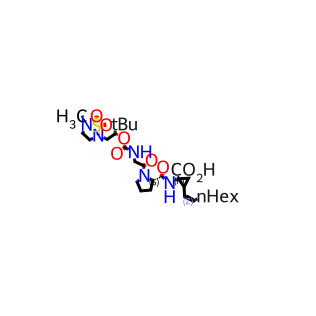 CCCCCC/C=C\C1C[C@]1(NC(=O)[C@@H]1CCCN1C(=O)CNC(=O)OC(CN1CCN(C)S1(=O)=O)C(C)(C)C)C(=O)O